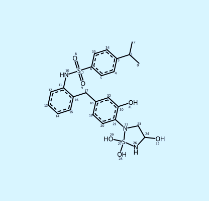 CC(C)c1ccc(S(=O)(=O)Nc2ccccc2Cc2ccc(N3CC(O)NS3(O)O)c(O)c2)cc1